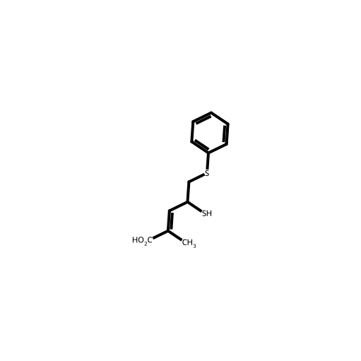 CC(=CC(S)CSc1ccccc1)C(=O)O